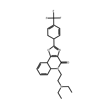 CCN(CC)CCN1C(=O)c2nc(C3C=CC(C(F)(F)F)=CC3)oc2C2C=CC=CC21